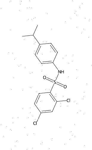 CC(C)c1ccc(NS(=O)(=O)c2ccc(Cl)cc2Cl)cc1